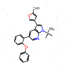 CC(C)(C)[Si](C)(C)n1cc(-c2coc(C=O)c2)c2cc(-c3ccccc3Oc3ccccc3)cnc21